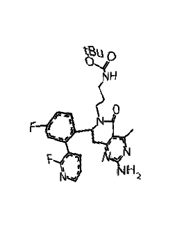 Cc1nc(N)nc2c1C(=O)N(CCCNC(=O)OC(C)(C)C)C(c1ccc(F)cc1-c1cccnc1F)C2